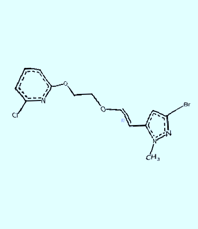 Cn1nc(Br)cc1/C=C/OCCOc1cccc(Cl)n1